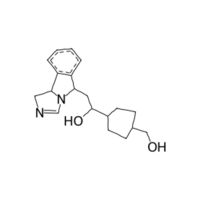 OCC1CCC(C(O)CC2c3ccccc3C3CN=CN32)CC1